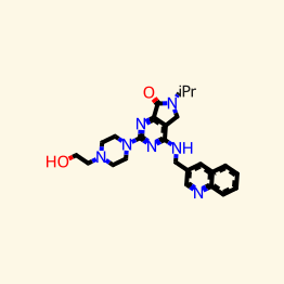 CC(C)N1Cc2c(NCc3cnc4ccccc4c3)nc(N3CCN(CCO)CC3)nc2C1=O